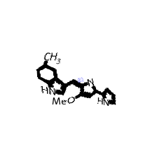 COC1=CC(c2ccc[nH]2)=N/C1=C/c1c[nH]c2c1CC(C)CC2